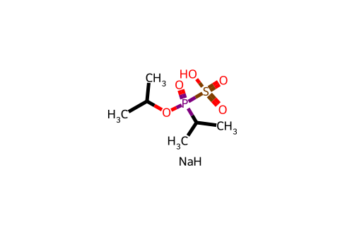 CC(C)OP(=O)(C(C)C)S(=O)(=O)O.[NaH]